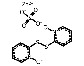 O=S(=O)([O-])[O-].[O-][n+]1ccccc1SSc1cccc[n+]1[O-].[Zn+2]